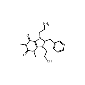 Cn1c2c(c(=O)n(C)c1=O)N(CCN)C(Cc1ccccc1)N2CCO